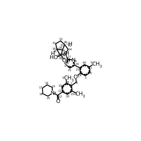 Cc1ccc(OCc2c(C)cc(C(=O)N3CCCCC3)cc2C)c(-c2csc(N3C[C@H]4CC[C@@H](C3)[C@H]4C(O)O)n2)c1